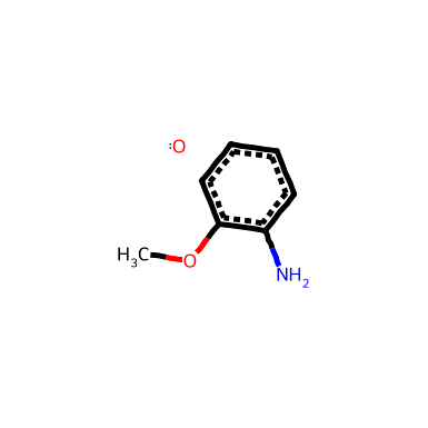 COc1ccccc1N.[O]